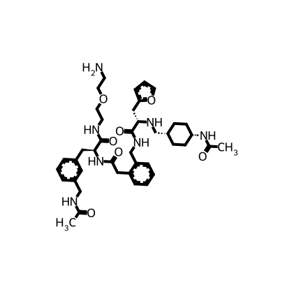 CC(=O)NCc1cccc(C[C@H](NC(=O)Cc2ccccc2CNC(=O)[C@H](Cc2ccco2)NC[C@H]2CC[C@@H](NC(C)=O)CC2)C(=O)NCCOCCN)c1